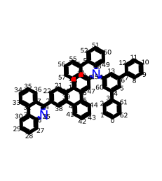 c1ccc(-c2cc(-c3ccccc3)cc(N(c3ccc4c5ccc(-c6nc7ccccc7c7ccccc67)cc5c5ccccc5c4c3)c3ccccc3-c3ccccc3)c2)cc1